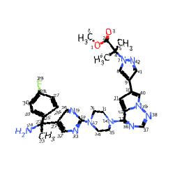 COC(=O)C(C)(C)n1cc(-c2cc3c(N4CCN(c5ncc(C(C)(N)c6ccc(F)cc6)cn5)CC4)ncnn3c2)cn1